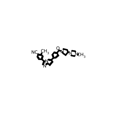 Cc1cc(-c2cnc3ccc(-c4ccc(C(=O)N5CCC(N6CCN(C)CC6)CC5)cc4)cn23)ccc1C#N